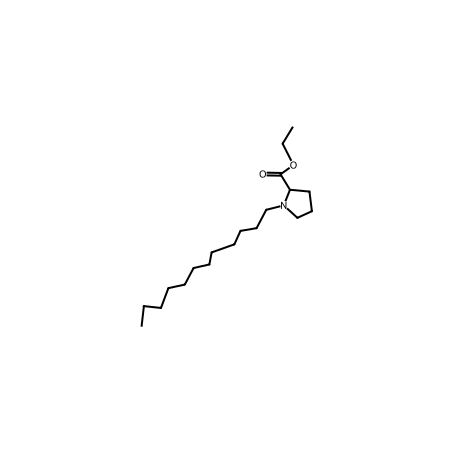 CCCCCCCCCCCCN1CCCC1C(=O)OCC